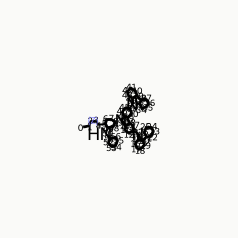 C=C/C=C\Cc1ccc(-n2c3ccc(-n4c5ccccc5c5ccccc54)cc3c3cc(-n4c5ccccc5c5ccccc54)ccc32)cc1Nc1ccccc1